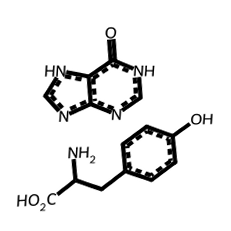 NC(Cc1ccc(O)cc1)C(=O)O.O=c1[nH]cnc2nc[nH]c12